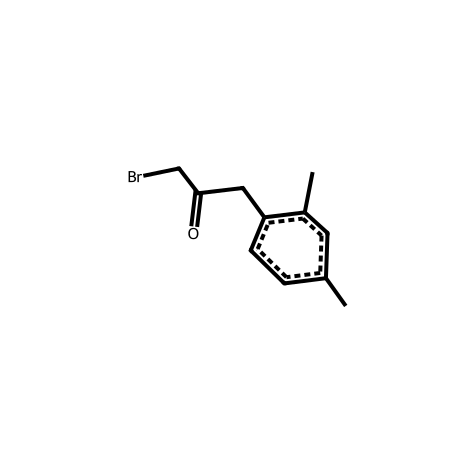 Cc1ccc(CC(=O)CBr)c(C)c1